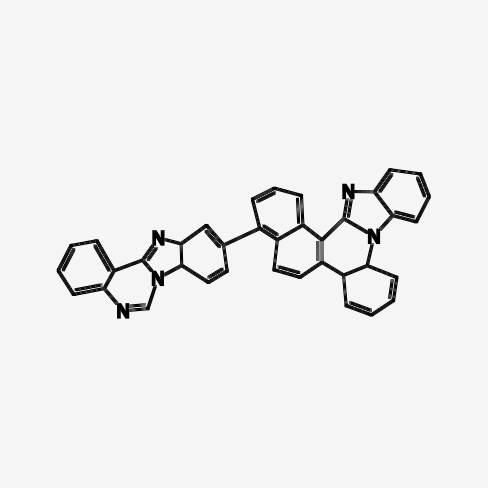 C1=CC2c3ccc4c(C5=CC6N=C7c8ccccc8N=CN7C6C=C5)cccc4c3-c3nc4ccccc4n3C2C=C1